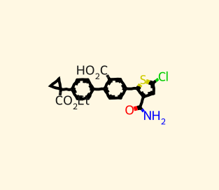 CCOC(=O)C1(c2ccc(-c3ccc(-c4sc(Cl)cc4C(N)=O)cc3C(=O)O)cc2)CC1